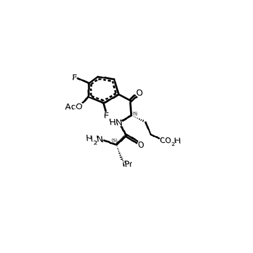 CC(=O)Oc1c(F)ccc(C(=O)[C@H](CCC(=O)O)NC(=O)[C@@H](N)C(C)C)c1F